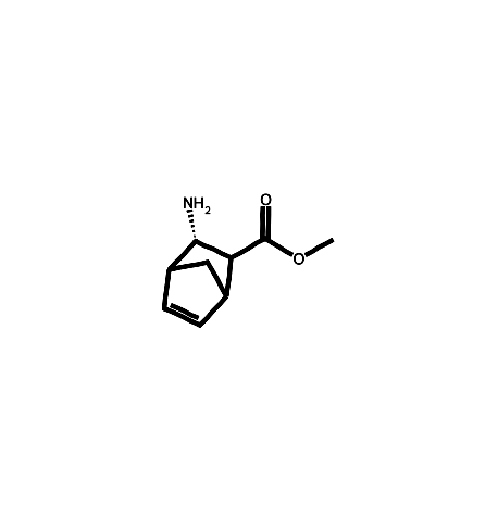 COC(=O)C1C2C=CC(C2)[C@@H]1N